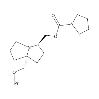 CC(C)OC[C@]12CCCN1[C@@H](COC(=O)N1CCCC1)CC2